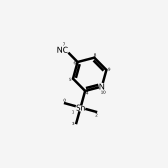 [CH3][Sn]([CH3])([CH3])[c]1cc(C#N)ccn1